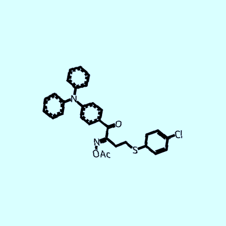 CC(=O)O/N=C(\CCSC1C=CC(Cl)=CC1)C(=O)c1ccc(N(c2ccccc2)c2ccccc2)cc1